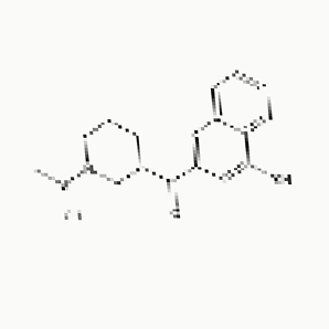 CB(O)N1CCCC(C(=O)c2cc(C#N)c3ccccc3c2)C1